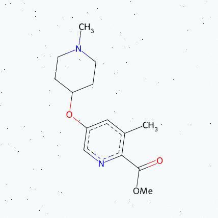 COC(=O)c1ncc(OC2CCN(C)CC2)cc1C